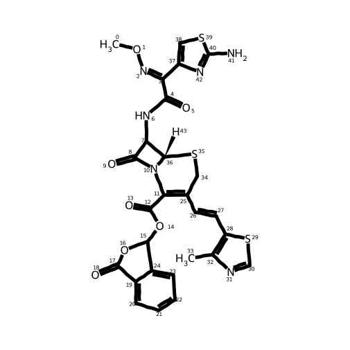 CON=C(C(=O)NC1C(=O)N2C(C(=O)OC3OC(=O)c4ccccc43)=C(C=Cc3scnc3C)CS[C@@H]12)c1csc(N)n1